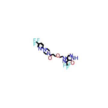 O=C(CCOCCn1nc(C(F)(F)F)c2c(=O)[nH]ncc21)N1CCN(c2ccc(C(F)(F)F)cn2)CC1